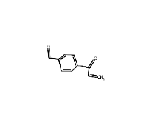 C=CC(=O)c1ccc(C=O)cc1